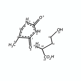 Cc1c[nH]c(=O)[nH]c1=O.NC(CCO)C(=O)O